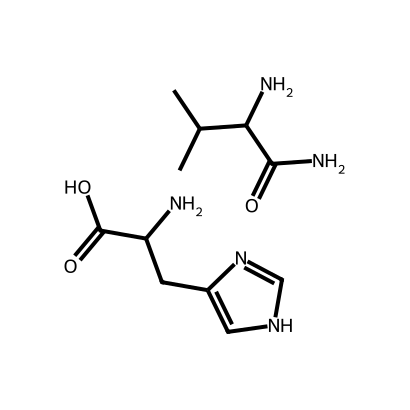 CC(C)C(N)C(N)=O.NC(Cc1c[nH]cn1)C(=O)O